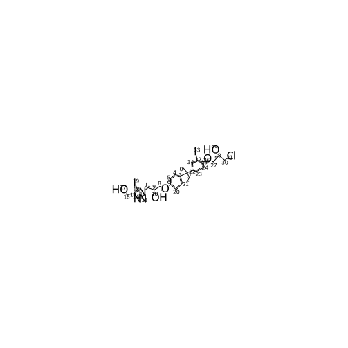 CC(C)(c1ccc(OC[C@H](O)Cn2nnc(CO)c2I)cc1)c1ccc(OC[C@H](O)CCl)c(I)c1